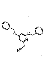 N#CCc1cc(OCc2ccccc2)cc(OCc2ccccc2)n1